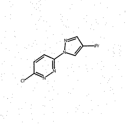 CC(C)c1cnn(-c2ccc(Cl)nn2)c1